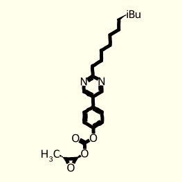 CC[C@H](C)CCCCCCCc1ncc(-c2ccc(OC(=O)O[C@H]3O[C@@H]3C)cc2)cn1